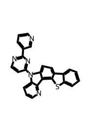 c1cncc(-c2nccc(-n3c4cccnc4c4c5sc6ccccc6c5ccc43)n2)c1